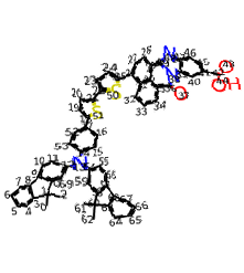 CC1(C)c2ccccc2-c2ccc(N(c3ccc(-c4ccc(-c5ccc(-c6ccc7c8c6cccc8c(=O)n6c8cc(C(=O)O)ccc8nc76)s5)s4)cc3)c3ccc4c(c3)C(C)(C)c3ccccc3-4)cc21